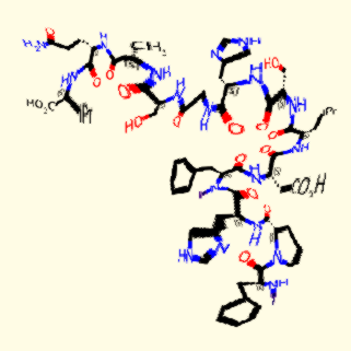 CC(C)C[C@H](NC(=O)[C@H](CC(=O)O)NC(=O)[C@H](Cc1ccccc1)N(I)C(=O)[C@H](Cc1c[nH]cn1)NC(=O)[C@@H]1CCCN1C(=O)[C@H](Cc1ccccc1)NI)C(=O)N[C@@H](CO)C(=O)N[C@@H](Cc1c[nH]cn1)C(=O)NCC(=O)N[C@@H](CO)C(=O)N[C@@H](C)C(=O)N[C@@H](CCC(N)=O)C(=O)N[C@H](C(=O)O)C(C)C